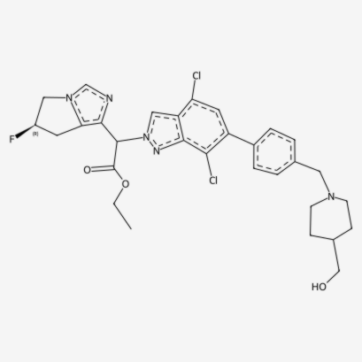 CCOC(=O)C(c1ncn2c1C[C@@H](F)C2)n1cc2c(Cl)cc(-c3ccc(CN4CCC(CO)CC4)cc3)c(Cl)c2n1